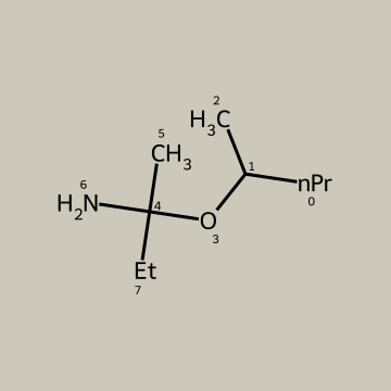 CCCC(C)OC(C)(N)CC